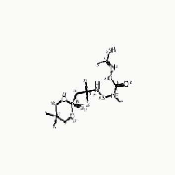 C/C(S)=N\OC(=O)N(C)SNC(C)(C)CP1(=S)OCC(C)(C)CO1